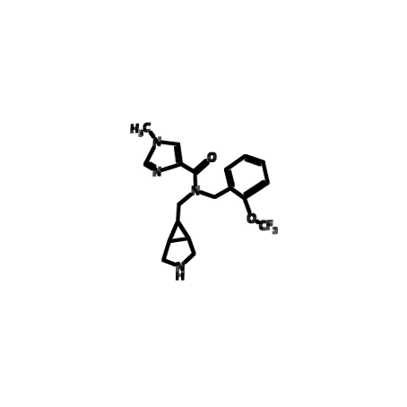 Cn1cnc(C(=O)N(Cc2ccccc2OC(F)(F)F)CC2C3CNCC32)c1